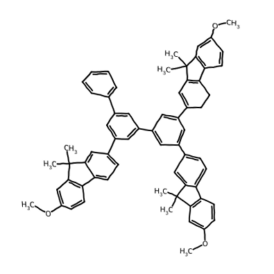 COc1ccc2c(c1)C(C)(C)C1=C2CCC(c2cc(-c3cc(-c4ccccc4)cc(-c4ccc5c(c4)C(C)(C)c4cc(OC)ccc4-5)c3)cc(-c3ccc4c(c3)C(C)(C)c3cc(OC)ccc3-4)c2)=C1